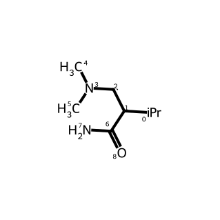 CC(C)C([CH]N(C)C)C(N)=O